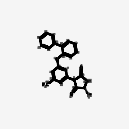 CC[C@H]1NC(=O)N(c2nc(Oc3ccccc3-c3ccccc3)cc(C(F)(F)F)n2)C1=O